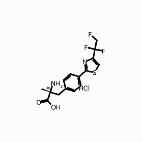 C[C@@](N)(Cc1ccc(-c2nc(C(F)(F)CF)cs2)cc1)C(=O)O.Cl